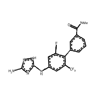 CNC(=O)c1cccc(-c2c(F)cc(Nc3nc(N)n[nH]3)cc2C(F)(F)F)c1